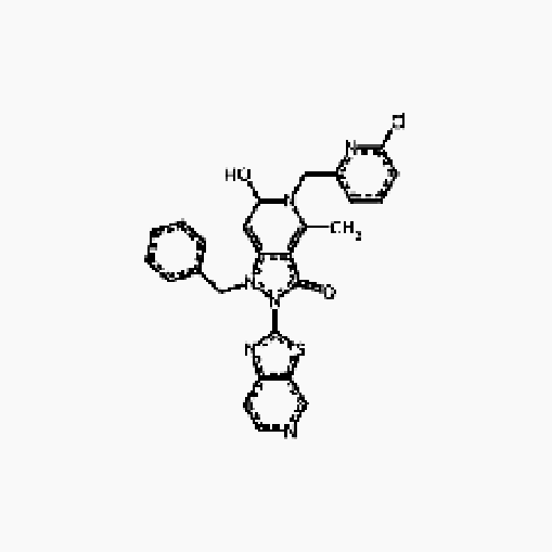 CC1=c2c(n(Cc3ccccc3)n(-c3nc4ccncc4s3)c2=O)=CC(O)N1Cc1cccc(Cl)n1